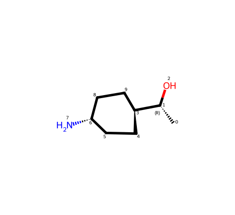 C[C@@H](O)[C@H]1CC[C@H](N)CC1